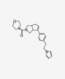 O=C(N1CCOCC1)N1CC2CC=C(c3ccc(CCn4cccc4)cc3)C2C1